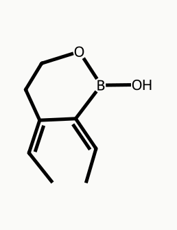 C/C=C1/CCOB(O)/C1=C/C